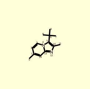 Cc1ccn2c(C(C)(C)C)c(C)nc2c1